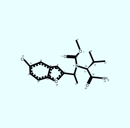 COC(=O)N(C(C)c1cc2cc(Cl)ccc2o1)[C@H](C(N)=O)C(C)C